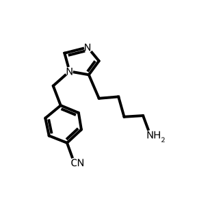 N#Cc1ccc(Cn2cncc2CCCCN)cc1